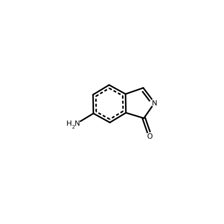 Nc1ccc2c(c1)C(=O)N=C2